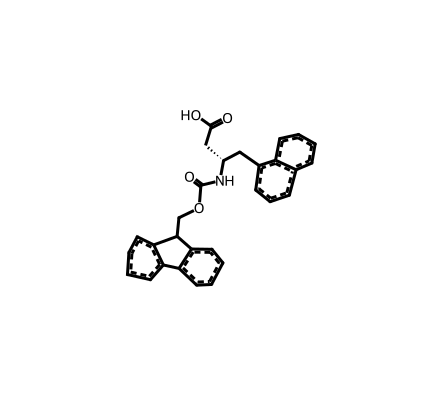 O=C(O)C[C@H](Cc1cccc2ccccc12)NC(=O)OCC1c2ccccc2-c2ccccc21